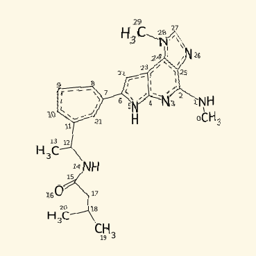 CNc1nc2[nH]c(-c3cccc(C(C)NC(=O)CC(C)C)c3)cc2c2c1ncn2C